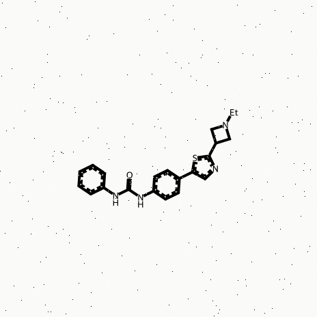 CCN1CC(c2ncc(-c3ccc(NC(=O)Nc4ccccc4)cc3)s2)C1